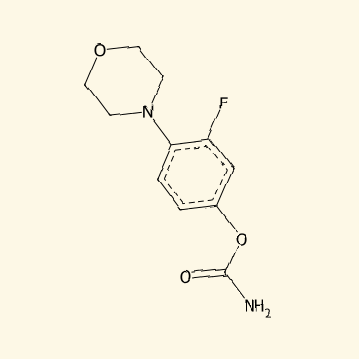 NC(=O)Oc1ccc(N2CCOCC2)c(F)c1